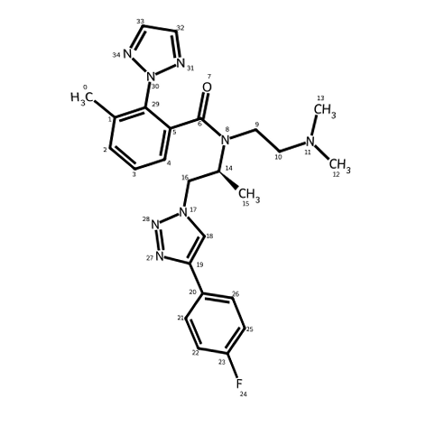 Cc1cccc(C(=O)N(CCN(C)C)[C@@H](C)Cn2cc(-c3ccc(F)cc3)nn2)c1-n1nccn1